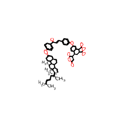 CC(C)CCC[C@@H](C)[C@H]1CCC2C3CCC4CC(Oc5ccc(C(=O)C=Cc6ccc(Oc7ccc8c(c7)C7C(=O)OC(=O)C7CC8C7CC(=O)OC7=O)cc6)cc5)CC[C@]4(C)C3CC[C@@]21C